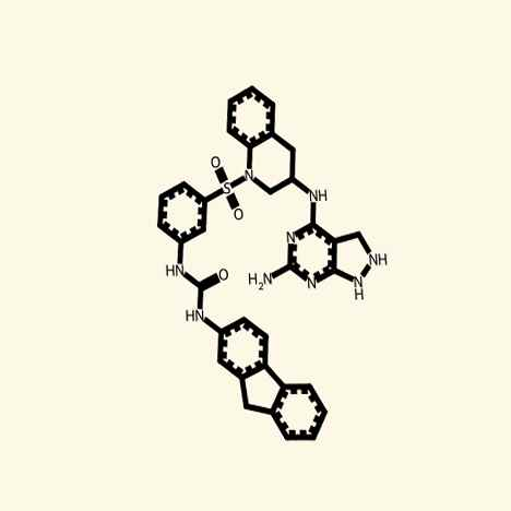 Nc1nc2c(c(NC3Cc4ccccc4N(S(=O)(=O)c4cccc(NC(=O)Nc5ccc6c(c5)Cc5ccccc5-6)c4)C3)n1)CNN2